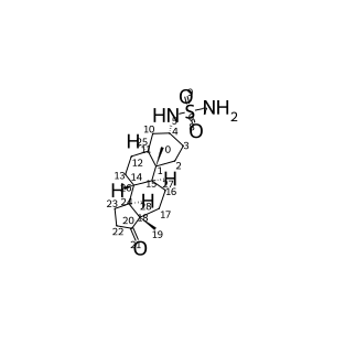 C[C@]12CC[C@@H](NS(N)(=O)=O)C[C@@H]1CC[C@@H]1[C@@H]2CC[C@]2(C)C(=O)CC[C@@H]12